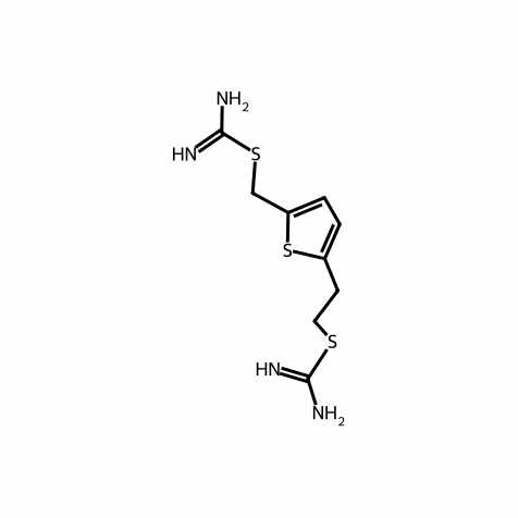 N=C(N)SCCc1ccc(CSC(=N)N)s1